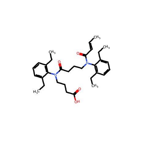 CC=CC(=O)N(CCCC(=O)N(CCCC(=O)O)c1c(CC)cccc1CC)c1c(CC)cccc1CC